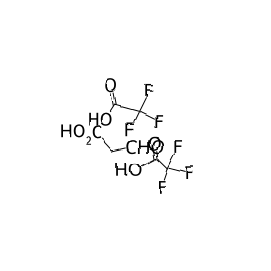 O=C(O)C(F)(F)F.O=C(O)C(F)(F)F.O=CCC(=O)O